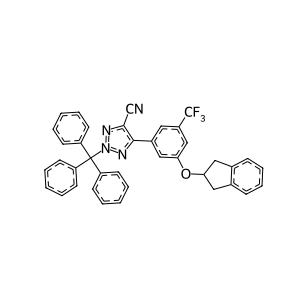 N#Cc1nn(C(c2ccccc2)(c2ccccc2)c2ccccc2)nc1-c1cc(OC2Cc3ccccc3C2)cc(C(F)(F)F)c1